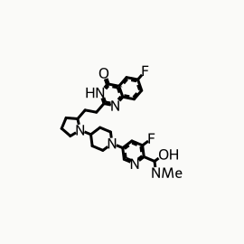 CNC(O)c1ncc(N2CCC(N3CCCC3CCc3nc4ccc(F)cc4c(=O)[nH]3)CC2)cc1F